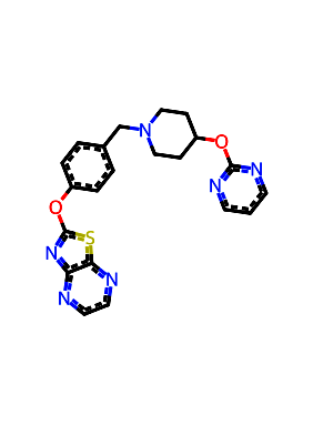 c1cnc(OC2CCN(Cc3ccc(Oc4nc5nccnc5s4)cc3)CC2)nc1